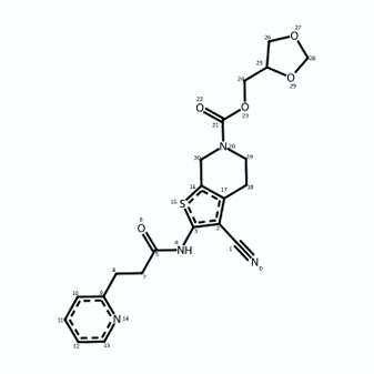 N#Cc1c(NC(=O)CCc2ccccn2)sc2c1CCN(C(=O)OCC1COCO1)C2